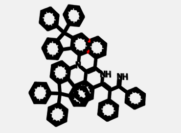 N=C(/C(=C1\NC(c2ccccc2)=C(N(c2cccc3c2-c2ccccc2C3(c2ccccc2)c2ccccc2)c2cccc3c2-c2ccccc2C3(c2ccccc2)c2ccccc2)c2ccccc21)c1ccccc1)c1ccccc1